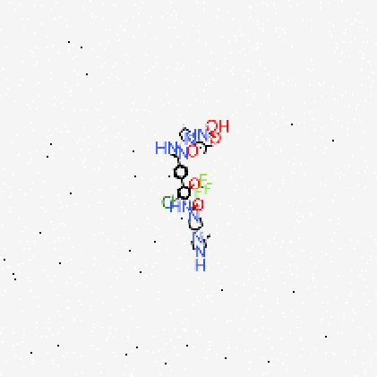 CC(C)[C@H](NC(=O)O)C(=O)N1C[C@@H](C)C[C@H]1c1nc(-c2ccc(-c3cc(Cl)c(NC(=O)N4CCC(N5CCNCC5C)CC4)cc3OC(F)(F)F)cc2)c[nH]1